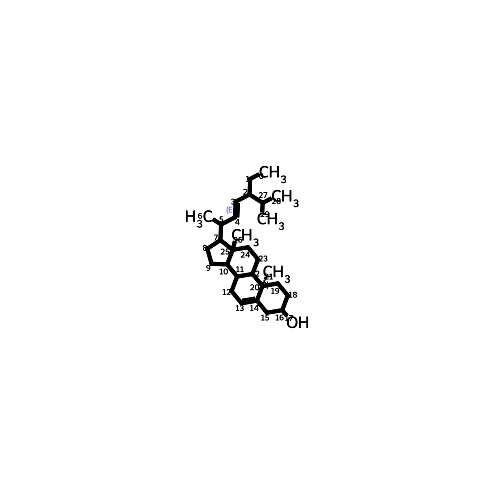 CCC(/C=C/C(C)C1CCC2C3CC=C4CC(O)CC[C@]4(C)C3CCC12C)C(C)C